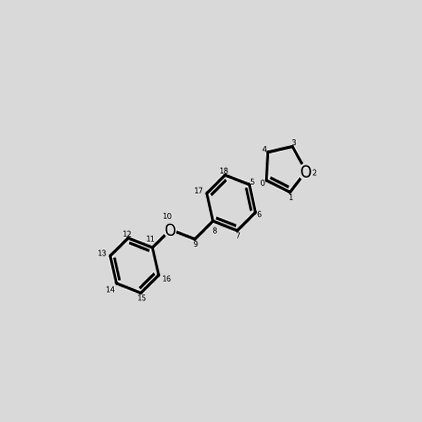 C1=COCC1.c1ccc(COc2ccccc2)cc1